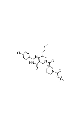 CCCCC1CN(C(=O)[C@@H]2CCCN(C(=O)OC(C)(C)C)C2)Cc2c1nc(-c1ccc(Cl)cc1)[nH]c2=O